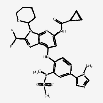 CN(c1cc(-c2cncn2C)ccc1Nc1cc(NC(=O)C2CC2)nc2c1nc(C(F)F)n2C1CCCCO1)S(C)(=O)=O